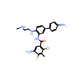 CNCCNc1ccc(-c2ccc(N)cc2)cc1NC(=O)c1cc(N)c(F)c(C)c1Cl